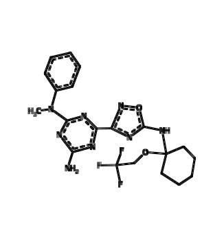 CN(c1ccccc1)c1nc(N)nc(-c2noc(NC3(OCC(F)(F)F)CCCCC3)n2)n1